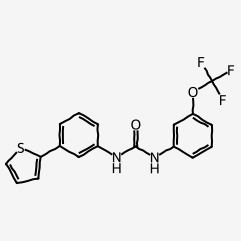 O=C(Nc1cccc(OC(F)(F)F)c1)Nc1cccc(-c2cccs2)c1